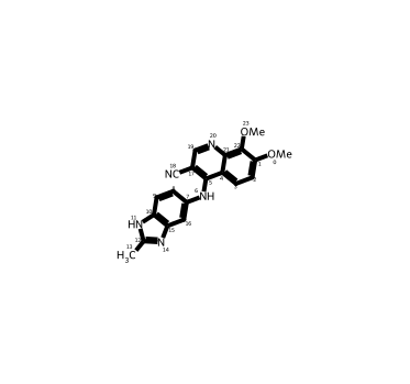 COc1ccc2c(Nc3ccc4[nH]c(C)nc4c3)c(C#N)cnc2c1OC